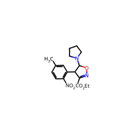 CCOC(=O)C1=NOC(N2CCCC2)C1c1cc(C)ccc1[N+](=O)[O-]